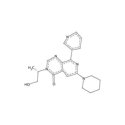 C[C@@H](CO)n1cnc2c(-c3cccnc3)nc(N3CCCCC3)cc2c1=O